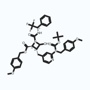 COc1ccc(COC(=O)[C@@H]2[C@@H](Cc3ccnc(N(Cc4ccc(OC)cc4)C(=O)OC(C)(C)C)c3)C(O)N2C(=O)N[C@@H](c2ccccc2)C(F)(F)F)cc1